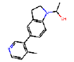 Cc1ccncc1-c1ccc2c(c1)CCN2C(C)O